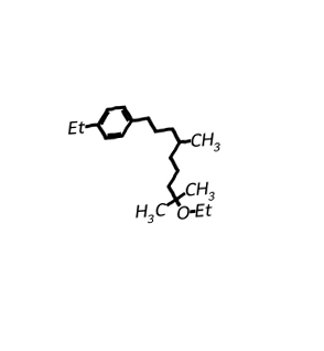 CCOC(C)(C)CCCC(C)CCCc1ccc(CC)cc1